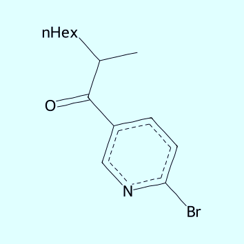 CCCCCCC(C)C(=O)c1ccc(Br)nc1